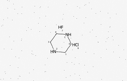 C1CNCCN1.Cl.F